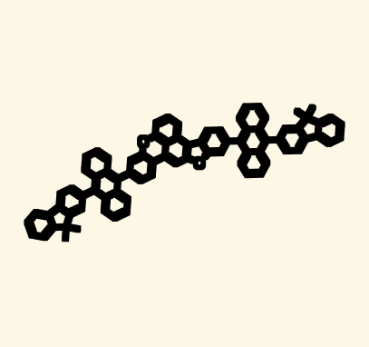 CC1(C)c2ccccc2-c2ccc(-c3c4ccccc4c(-c4ccc5c(c4)Oc4cccc6c4c-5cc4oc5cc(-c7c8ccccc8c(-c8ccc9c(c8)C(C)(C)c8ccccc8-9)c8ccccc78)ccc5c46)c4ccccc34)cc21